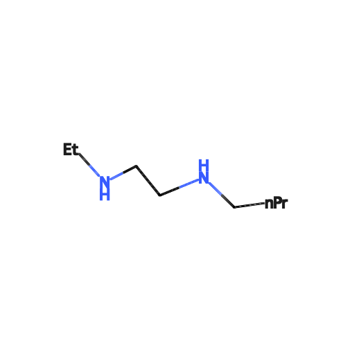 [CH2]CCCNCCNCC